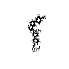 N#Cc1ccc(-c2ccc3nccc(Nc4ccc(N5CCN(CCO)CC5)cc4)c3c2)cc1